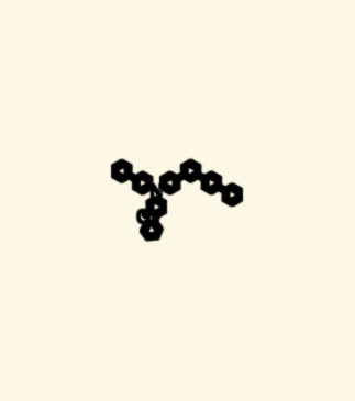 c1ccc(-c2ccc(-c3cccc(-c4ccc(N(c5ccc(-c6ccccc6)cc5)c5ccc6c(c5)oc5ccccc56)cc4)c3)cc2)cc1